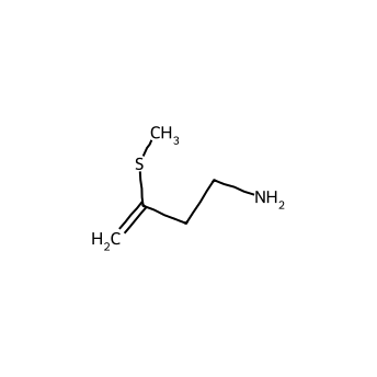 C=C(CCN)SC